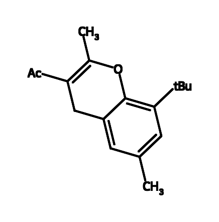 CC(=O)C1=C(C)Oc2c(cc(C)cc2C(C)(C)C)C1